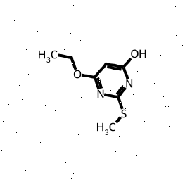 CCOc1cc(O)nc(SC)n1